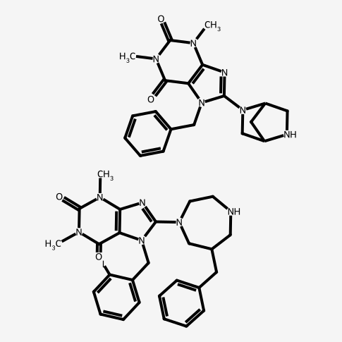 Cn1c(=O)c2c(nc(N3CC4CC3CN4)n2Cc2ccccc2)n(C)c1=O.Cn1c(=O)c2c(nc(N3CCNCC(Cc4ccccc4)C3)n2Cc2ccccc2I)n(C)c1=O